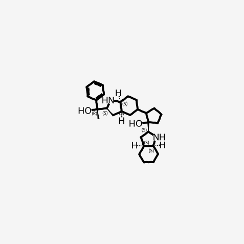 C[C@@](O)(c1ccccc1)[C@@H]1C[C@@H]2CC(C3CCCC3(O)[C@@H]3C[C@@H]4CCCC[C@@H]4N3)CC[C@@H]2N1